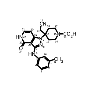 Cc1cccc(Nc2nn(C3(CC#N)CCN(C(=O)O)CC3)c3cc[nH]c(=O)c23)c1